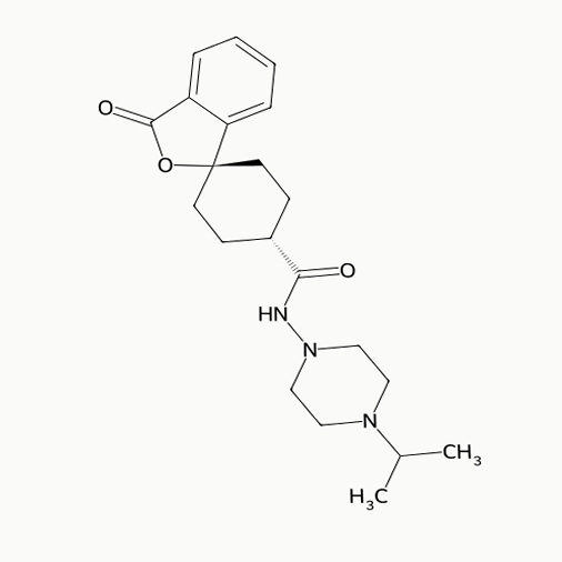 CC(C)N1CCN(NC(=O)[C@H]2CC[C@@]3(CC2)OC(=O)c2ccccc23)CC1